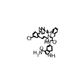 NC(=O)c1c[nH]c2ccc(NC(=O)[C@H](Cc3ccccc3)NC(=O)/C=C/c3cc(Cl)ccc3-n3cnnn3)cc12